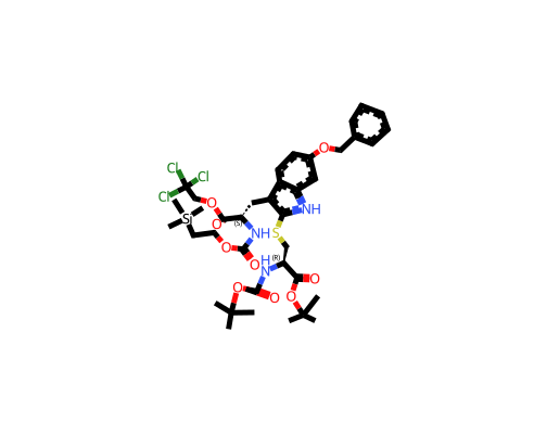 CC(C)(C)OC(=O)N[C@@H](CSc1[nH]c2cc(OCc3ccccc3)ccc2c1C[C@H](NC(=O)OCC[Si](C)(C)C)C(=O)OCC(Cl)(Cl)Cl)C(=O)OC(C)(C)C